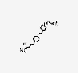 CCCCCc1ccc(CC[C@H]2CC[C@H](CCC=C(F)C#N)CC2)cc1